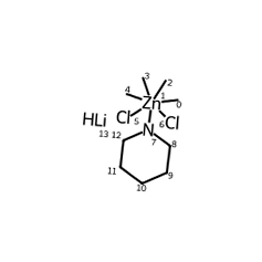 [CH3][Zn]([CH3])([CH3])([CH3])([Cl])([Cl])[N]1CCCCC1.[LiH]